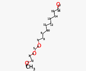 COCCOCOCCCCCCCCC[C]=O